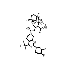 CC(C)(C)N(C(=O)O)[C@@H](CC(O)N1CCc2c(nc(-c3ccc(F)c(F)c3)nc2C(F)(F)F)C1)CN1CC(F)(F)CCC1=O